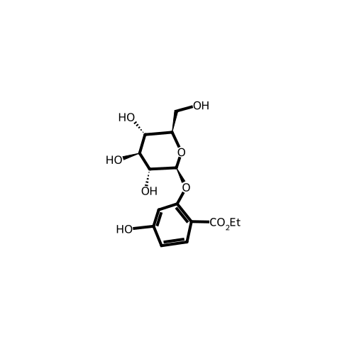 CCOC(=O)c1ccc(O)cc1O[C@@H]1O[C@H](CO)[C@@H](O)[C@H](O)[C@H]1O